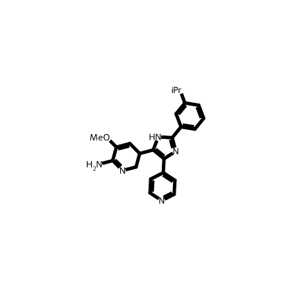 COC1=CC(c2[nH]c(-c3cccc(C(C)C)c3)nc2-c2ccncc2)CN=C1N